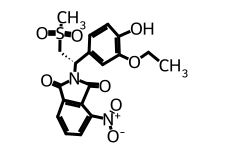 CCOc1cc([C@@H](CS(C)(=O)=O)N2C(=O)c3cccc([N+](=O)[O-])c3C2=O)ccc1O